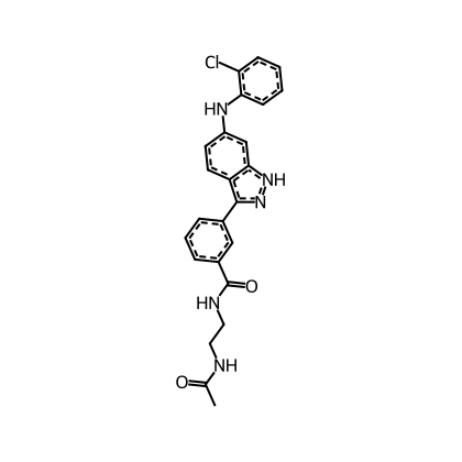 CC(=O)NCCNC(=O)c1cccc(-c2n[nH]c3cc(Nc4ccccc4Cl)ccc23)c1